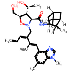 C=C/C=C(CN1O[C@@H](CO)[C@H]([C@H](C)O)[C@H]1C(=O)N[C@H]1C[C@H]2C[C@@H]([C@@H]1C)C2(C)C)\C(=C\c1cc(C(F)(F)F)cc2c1ncn2C)OC